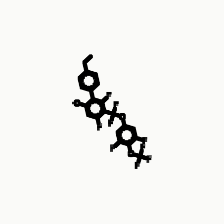 CCc1ccc(-c2c([O])cc(F)c(C(F)(F)Oc3cc(F)c(OC(F)(F)F)c(F)c3)c2F)cc1